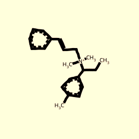 CCC(c1ccc(C)cc1)[N+](C)(C)CC=Cc1ccccc1